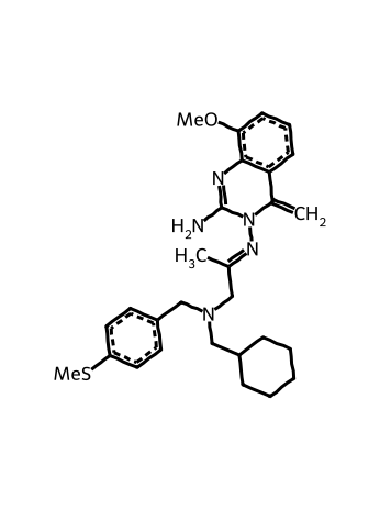 C=C1c2cccc(OC)c2N=C(N)N1/N=C(\C)CN(Cc1ccc(SC)cc1)CC1CCCCC1